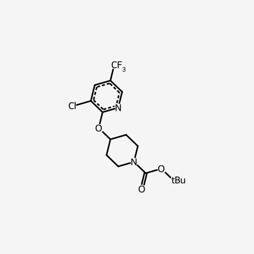 CC(C)(C)OC(=O)N1CCC(Oc2ncc(C(F)(F)F)cc2Cl)CC1